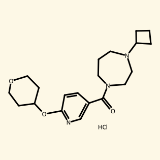 Cl.O=C(c1ccc(OC2CCOCC2)nc1)N1CCCN(C2CCC2)CC1